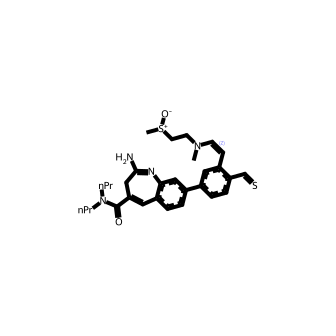 CCCN(CCC)C(=O)C1=Cc2ccc(-c3ccc(C=S)c(/C=C\N(C)CC[S+](C)[O-])c3)cc2N=C(N)C1